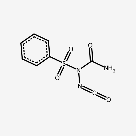 NC(=O)N(N=C=O)S(=O)(=O)c1ccccc1